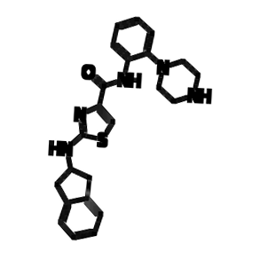 O=C(Nc1ccccc1N1CCNCC1)c1csc(NC2Cc3ccccc3C2)n1